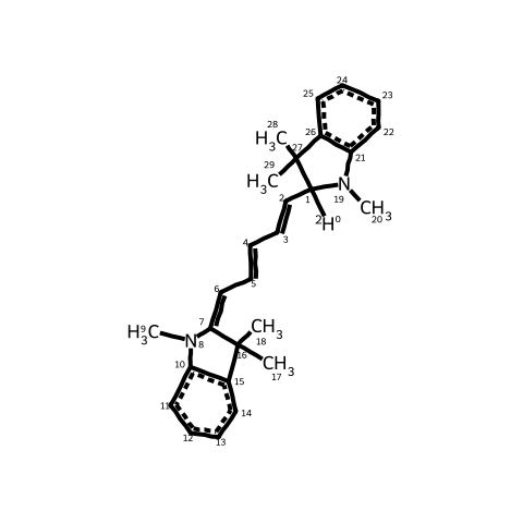 [2H]C1(/C=C/C=C/C=C2/N(C)c3ccccc3C2(C)C)N(C)c2ccccc2C1(C)C